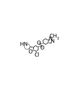 Cn1ncc2cc(S(=O)(=O)c3cc(Cl)c4oc5c(c4c3)CNCC5)ccc21